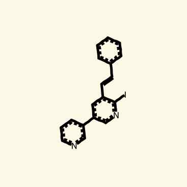 Ic1ncc(-c2cccnc2)cc1C=Cc1ccccc1